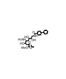 C=CC[C@]1(C(=O)OC)C[C@@H](O)[C@@H](NC(C)=O)C([C@H](O)[C@H](O)CNC(=O)c2ccc(-c3ccccc3)cc2)O1